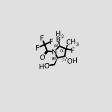 B[C@@H]1N(C(=O)C(F)(F)F)[C@H](CO)[C@@H](O)[C@@]1(C)F